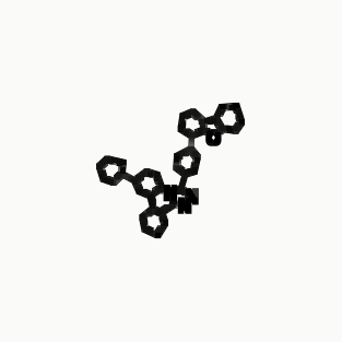 c1ccc(-c2ccc3c(c2)c2ccccc2c2nnc(-c4ccc(-c5cccc6c5oc5ccccc56)cc4)n32)cc1